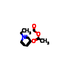 CC(=O)OC=O.CC[n+]1ccccc1